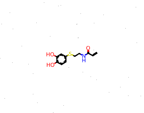 C=CC(=O)NCCSc1ccc(O)c(O)c1